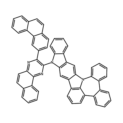 c1ccc2c(c1)-c1ccccc1-n1c3cc4c5ccccc5n(-c5nc6c(ccc7ccccc76)nc5-c5ccc6ccc7ccccc7c6c5)c4cc3c3cccc-2c31